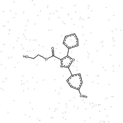 COc1ccc(-c2nc(C(=O)OCCO)c(-c3ccccc3)o2)cc1